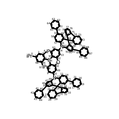 CC(C)c1cc(C(C)C)c(B2c3ccc(N4c5ccc(-c6ccccc6)cc5C5(c6ccccc6-c6ccccc65)c5cc(-c6ccccc6)ccc54)cc3Oc3cc(N4c5ccc(-c6ccccc6)cc5C5(c6ccccc6-c6ccccc65)c5cc(-c6ccccc6)ccc54)ccc32)c(C(C)C)c1